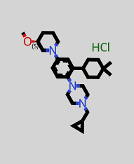 CO[C@H]1CCCN(c2ccc(N3CCN(CC4CC4)CC3)c(C3CCC(C)(C)CC3)c2)C1.Cl